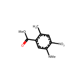 CNc1cc(C(=O)OC)c(C)cc1[N+](=O)[O-]